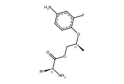 CC(C)[C@H](N)C(=O)OC[C@H](C)Oc1ccc(N)cc1F